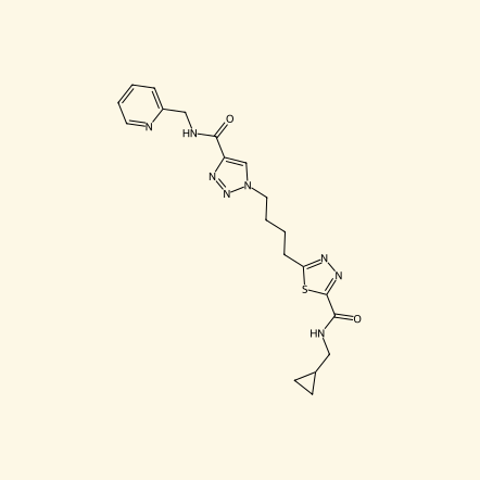 O=C(NCc1ccccn1)c1cn(CCCCc2nnc(C(=O)NCC3CC3)s2)nn1